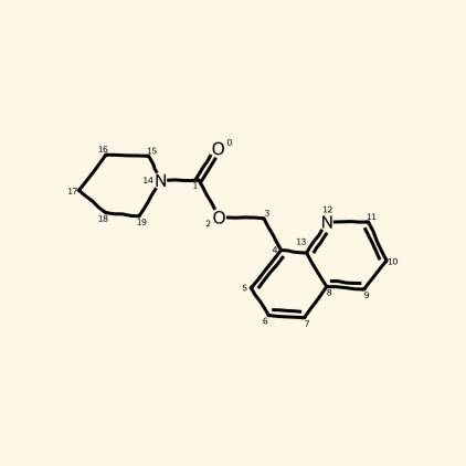 O=C(OCc1cccc2cccnc12)N1CCCCC1